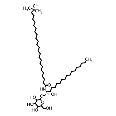 CCCCCCCCCCCCCCC[C@@H](O)[C@H](COC1OC(CO)C(O)C(O)C1O)NC(=O)CCCCCCCCCCCCCCCCCCCCCCCS(C)(C)C